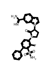 N=C(N)c1ccc2ccn(C3CCN(c4ccc(-c5ccccc5)c(S(N)(=O)=O)c4F)C3=O)c2c1